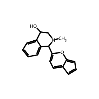 CN1CC(O)c2ccccc2C1c1ccc2cccc-2o1